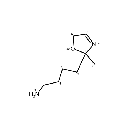 CC1(CCCCN)N=CCO1